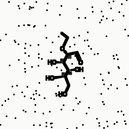 CCO[C@@H](C=O)[C@@H](O)[C@H](O)[C@H](O)CO